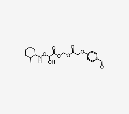 CC1CCCCC1NOC(O)C(=O)OCOC(=O)COc1ccc(C=O)cc1